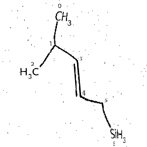 CC(C)C=CC[SiH3]